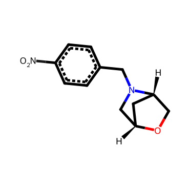 O=[N+]([O-])c1ccc(CN2C[C@@H]3C[C@H]2CO3)cc1